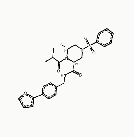 CC(C)C(=O)N1[C@H](C)CN(S(=O)(=O)c2ccccc2)C[C@@H]1C(=O)NCc1ccc(-c2ccco2)cc1